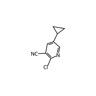 N#Cc1cc(C2CC2)cnc1Cl